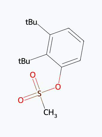 CC(C)(C)c1cccc(OS(C)(=O)=O)c1C(C)(C)C